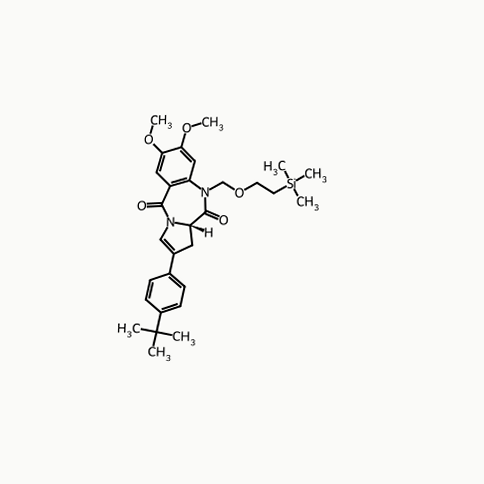 COc1cc2c(cc1OC)N(COCC[Si](C)(C)C)C(=O)[C@@H]1CC(c3ccc(C(C)(C)C)cc3)=CN1C2=O